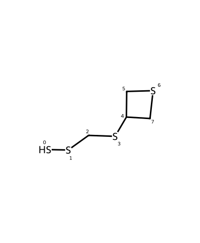 SSCSC1CSC1